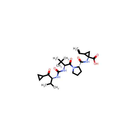 C=CC1C[C@]1(NC(=O)[C@@H]1CCCN1C(=O)[C@@H](NC(=O)N[C@H](C(=O)C1CC1)C(C)C)C(C)(C)C)C(=O)O